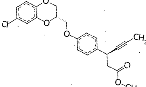 CC#C[C@@H](CC(=O)OC)c1ccc(OC[C@H]2COc3ccc(Cl)cc3O2)cc1